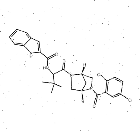 CC(C)(C)C(NC(=O)c1cc2ccccc2[nH]1)C(=O)N1C[C@@H]2C[C@H]1CN2C(=O)c1cc(Cl)ccc1Cl